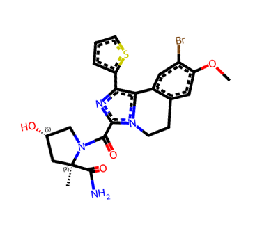 COc1cc2c(cc1Br)-c1c(-c3cccs3)nc(C(=O)N3C[C@@H](O)C[C@]3(C)C(N)=O)n1CC2